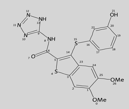 COc1cc2sc(C(=O)Nc3nnn[nH]3)c(Sc3cccc(O)c3)c2cc1OC